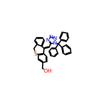 OCc1ccc2c(c1)SCc1ccccc1/C2=C\c1nnnn1C(c1ccccc1)(c1ccccc1)c1ccccc1